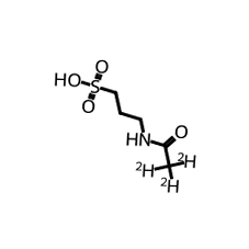 [2H]C([2H])([2H])C(=O)NCCCS(=O)(=O)O